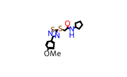 COc1ccc(-c2nsc(SCC(=O)NC3CCCC3)n2)cc1